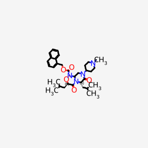 CC(C)C[C@H]1ON(C(=O)OCc2cccc3ccccc23)C2CN(C3CCN(C)CC3)C(=O)[C@H](CC(C)C)N2C1=O